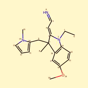 CCN1/C(=C\C=N)C(C)(Cc2cccn2C)c2cc(OC)ccc21